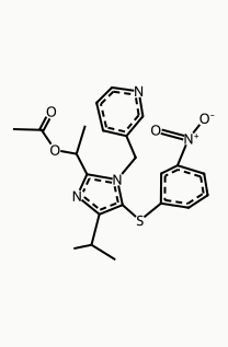 CC(=O)OC(C)c1nc(C(C)C)c(Sc2cccc([N+](=O)[O-])c2)n1Cc1cccnc1